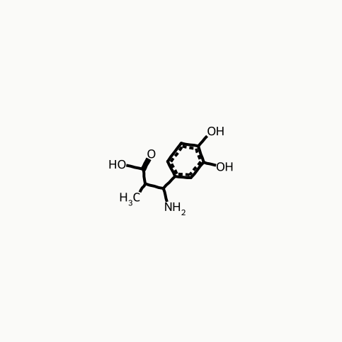 CC(C(=O)O)C(N)c1ccc(O)c(O)c1